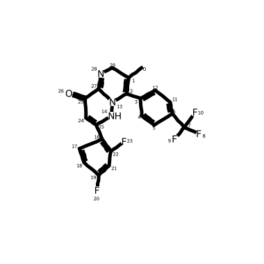 CC1=C(c2ccc(C(F)(F)F)cc2)N2NC(c3ccc(F)cc3F)=CC(=O)C2=NC1